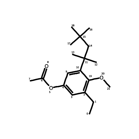 CCc1cc(OC(C)=O)cc(C(C)(C)CC(C)(C)C)c1OC